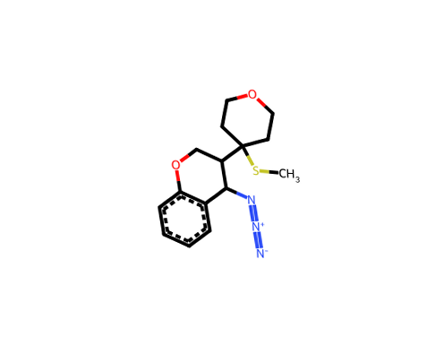 CSC1(C2COc3ccccc3C2N=[N+]=[N-])CCOCC1